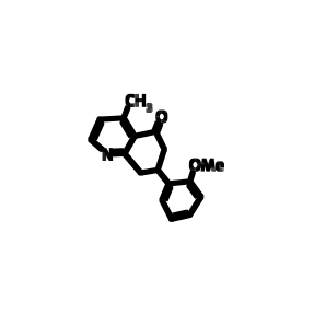 COc1ccccc1C1CC(=O)c2c(C)ccnc2C1